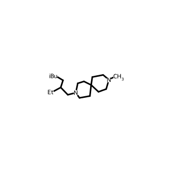 CCC(C)CC(CC)CN1CCC2(CCN(C)CC2)CC1